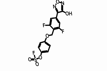 O=S(=O)(F)Oc1ccc(OCc2c(F)cc(-c3nonc3O)cc2F)cc1